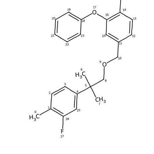 Cc1ccc(C(C)(C)COCc2ccc(F)c(Oc3ccccc3)c2)cc1F